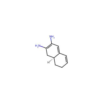 NC1=C(N)C[C@@H]2CCC=CC2=C1